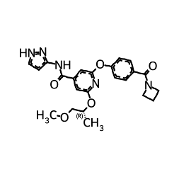 COC[C@@H](C)Oc1cc(C(=O)Nc2cc[nH]n2)cc(Oc2ccc(C(=O)N3CCC3)cc2)n1